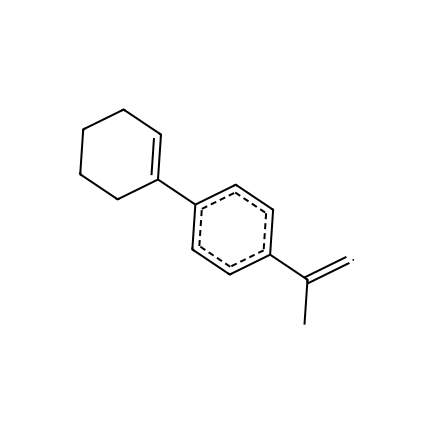 [CH]=C(C)c1ccc(C2=CCCCC2)cc1